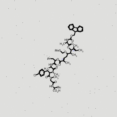 C/C=C(\C)C(OC(=O)C(C)NC(=O)OCC1c2ccccc2-c2ccccc21)C(C)C(C/C=C(\C)C(=O)OC(CC(C)C)C(=O)NC(C)C(=O)N(C)C(Cc1ccc(Cl)cc1)C(=O)N(C)CC(=O)NC(C(=O)O)C(C)CC)OCSC